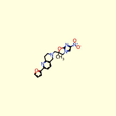 C[C@]1(CN2CCc3nc(-c4ccco4)ccc3C2)Cn2cc([N+](=O)[O-])nc2O1